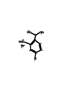 CCCCC(O)c1ccc(Br)cc1C(=O)[O-].[Na+]